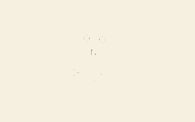 C=COC(=O)N1CC2C(=O)C=CC(c3ccccc3)(c3ccccc3)C2C1